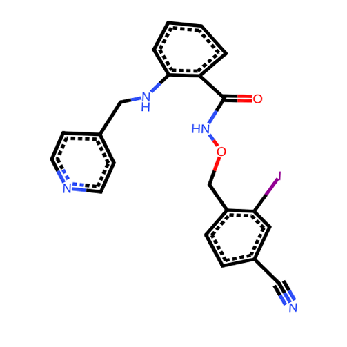 N#Cc1ccc(CONC(=O)c2ccccc2NCc2ccncc2)c(I)c1